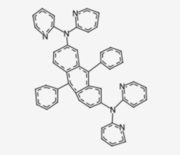 c1ccc(-c2c3ccc(N(c4ccccn4)c4ccccn4)cc3c(-c3ccccc3)c3cc(N(c4ccccn4)c4ccccn4)ccc23)cc1